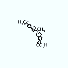 CC(c1ccc(-c2ccc(C(C)(F)F)cc2)o1)N1CCc2ccc(OCC(=O)O)cc2CC1